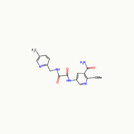 COc1ncc(NC(=O)C(=O)NCc2ccc(C(F)(F)F)cn2)cc1C(N)=O